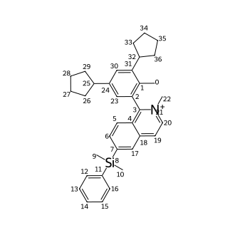 Cc1c(-c2c3ccc([Si](C)(C)c4ccccc4)cc3cc[n+]2C)cc(C2CCCC2)cc1C1CCCC1